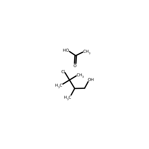 CC(=O)O.CC(CO)C(C)(C)Cl